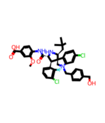 COc1cc(C(=O)O)ccc1NC(=O)[C@@H]1N[C@@H](CC(C)(C)C)[C@@]2(CN(Cc3ccc(CO)cc3)c3cc(Cl)ccc32)[C@H]1c1cccc(Cl)c1F